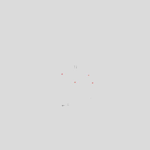 c1ccc(-c2cc3ccccc3cc2N(c2ccccc2)c2ccc3c(c2)C2(c4ccccc4O3)c3ccccc3-c3cccc4cccc2c34)cc1